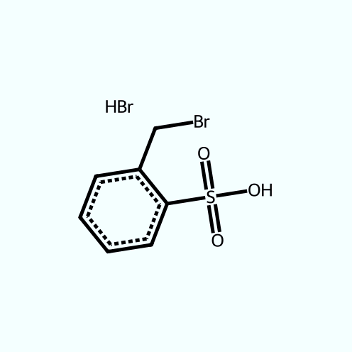 Br.O=S(=O)(O)c1ccccc1CBr